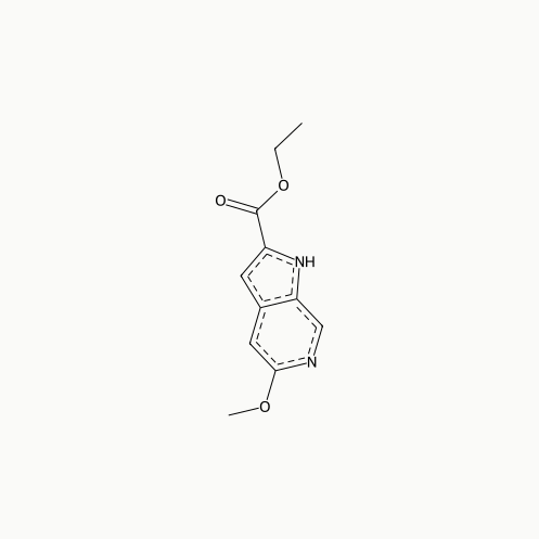 CCOC(=O)c1cc2cc(OC)ncc2[nH]1